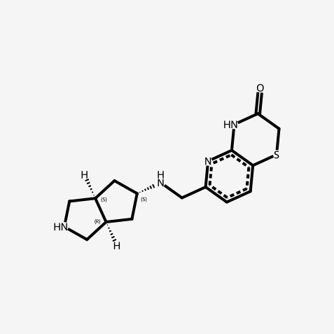 O=C1CSc2ccc(CN[C@@H]3C[C@H]4CNC[C@H]4C3)nc2N1